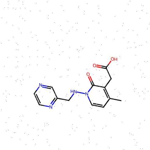 Cc1ccn(NCc2cnccn2)c(=O)c1CC(=O)O